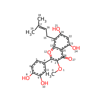 COc1c(-c2ccc(O)c(O)c2)oc2c(CC=C(C)C)c(O)cc(O)c2c1=O